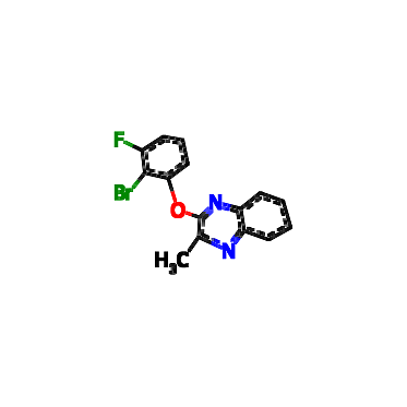 Cc1nc2ccccc2nc1Oc1cccc(F)c1Br